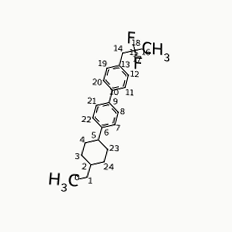 CCC1CCC(c2ccc(-c3ccc(CC(C)(F)F)cc3)cc2)CC1